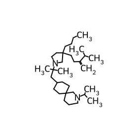 C=C(CCC1(CCCC)CCN(C(C)(C)CC2CCC3(CCCN(C(C)C)C3)CC2)C1)C(C)C